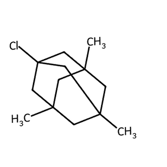 CC12CC3(C)CC(C)(C1)CC(Cl)(C2)C3